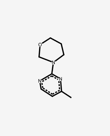 Cc1ccnc(N2CCCOC2)n1